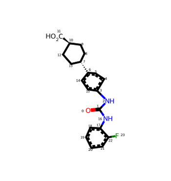 O=C(Nc1ccc([C@H]2CC[C@H](C(=O)O)CC2)cc1)Nc1ccccc1F